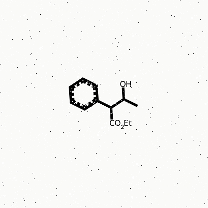 CCOC(=O)C(c1ccccc1)C(C)O